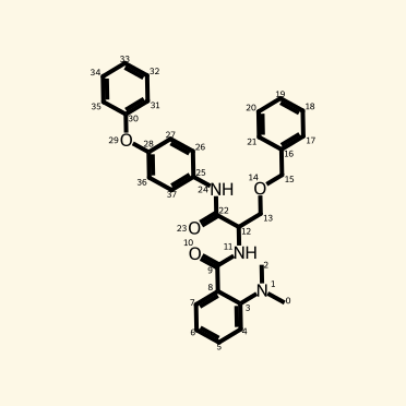 CN(C)c1ccccc1C(=O)NC(COCc1ccccc1)C(=O)Nc1ccc(Oc2ccccc2)cc1